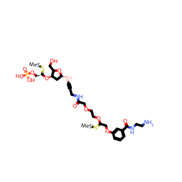 CSSC(COc1cccc(C(=O)NCCN)c1)OCCOCC(=O)NCC#CB[C@H]1C[C@@H](O[C@H](COP(=O)(O)O)SSC)C(CO)O1